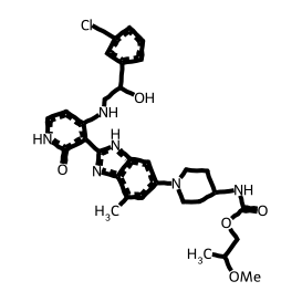 COC(C)COC(=O)NC1CCN(c2cc(C)c3nc(-c4c(NCC(O)c5cccc(Cl)c5)cc[nH]c4=O)[nH]c3c2)CC1